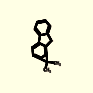 CC1(C)c2ccc3c(c21)[CH]c1ccccc1-3